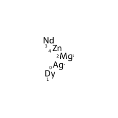 [Ag].[Dy].[Mg].[Nd].[Zn]